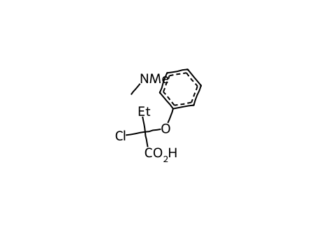 CCC(Cl)(Oc1ccccc1)C(=O)O.CNC